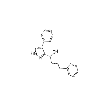 OC(CCCc1ccccc1)c1n[nH]cc1-c1ccncc1